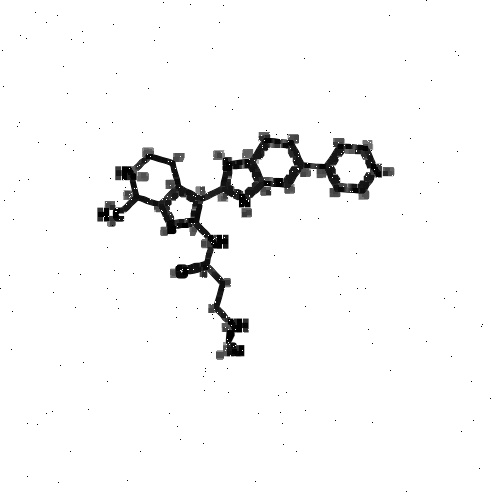 CC[C@H](C)NCCC(=O)Nc1sc2c(c1-c1nc3cc(-c4ccncc4)ccc3s1)CCNC2C